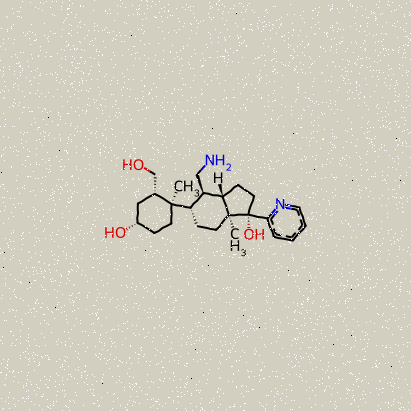 C[C@]1([C@H]2CC[C@@]3(C)[C@@H](CC[C@@]3(O)c3ccccn3)[C@@H]2CN)CC[C@H](O)C[C@@H]1CO